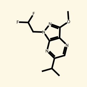 COc1nn(CC(F)F)c2nc(C(C)C)cnc12